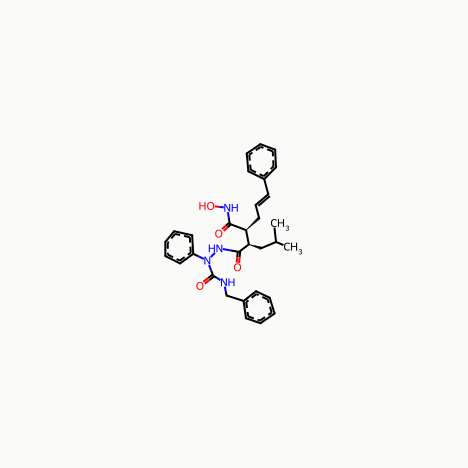 CC(C)C[C@@H](C(=O)NN(C(=O)NCc1ccccc1)c1ccccc1)[C@H](CC=Cc1ccccc1)C(=O)NO